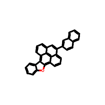 c1ccc2cc(-c3cc4cccc5c6c7ccccc7oc6c6cccc3c6c45)ccc2c1